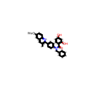 COc1ccc2nc(-c3ccc(N(Cc4ccccc4)C(=O)c4ccc(O)cc4O)cc3)c(C)cc2c1